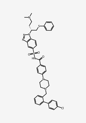 CN(C)CC[C@H](CSc1ccccc1)n1nnc2cc(S(=O)(=O)NC(=O)c3ccc(N4CCN(Cc5ccccc5-c5ccc(Cl)cc5)CC4)cc3)ccc21